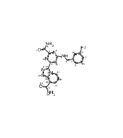 NC(=O)c1nc(NCc2cccc(F)c2)nc(-c2nnc3c(C(N)=O)cccn23)n1